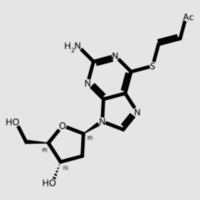 CC(=O)C=CSc1nc(N)nc2c1ncn2[C@H]1C[C@H](O)[C@@H](CO)O1